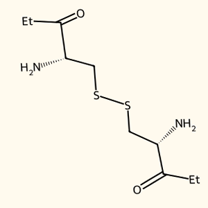 CCC(=O)[C@@H](N)CSSC[C@H](N)C(=O)CC